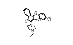 CCN1CCN(C2=C(Nc3cccc(Cl)c3)C(=O)c3ccccc3C2=O)CC1